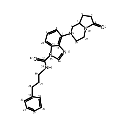 O=C1CCC2CN(c3cccc4c3ncn4C(=O)NCCCc3ccccc3)CCN12